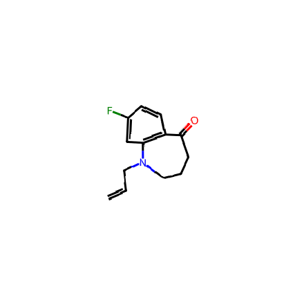 C=CCN1CCCC(=O)c2ccc(F)cc21